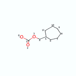 [O]C(=O)OCC1CCCCCC1